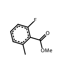 COC(=O)c1c(C)cccc1F